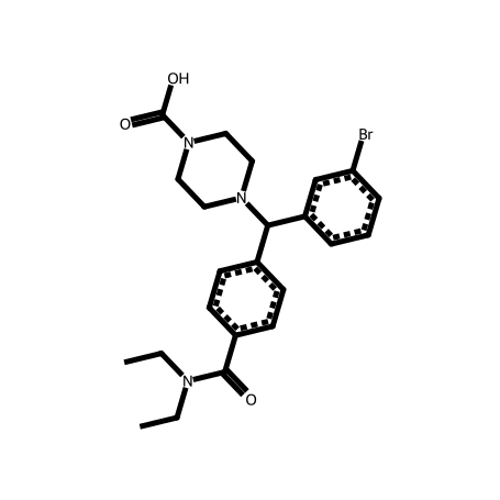 CCN(CC)C(=O)c1ccc(C(c2cccc(Br)c2)N2CCN(C(=O)O)CC2)cc1